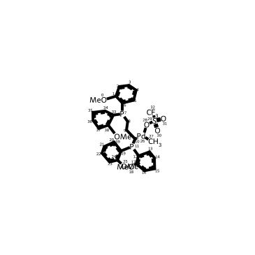 COc1ccccc1P(CC[CH](P(c1ccccc1OC)c1ccccc1OC)[Pd]([CH3])[O]S(=O)(=O)C(F)(F)F)c1ccccc1OC